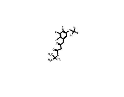 [2H]C([2H])([2H])Oc1cc(CC(=O)CC(=O)OC(C)(C)C)c(F)c(F)c1F